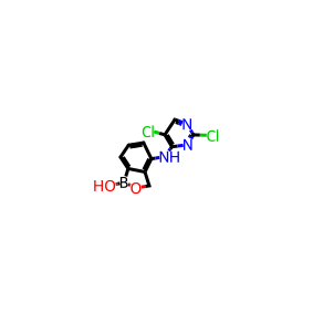 OB1OCc2c(Nc3nc(Cl)ncc3Cl)cccc21